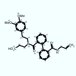 C=CCNC(=O)c1ccccc1-c1ccccc1C(=O)N(CCC(=O)O)CCc1ccc(OC)c(OC)c1